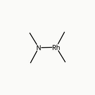 C[N](C)[Rh]([CH3])[CH3]